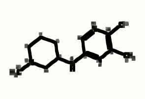 Cc1nc(NC2CCCN(C)C2)cnc1Cl